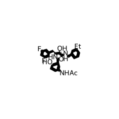 CCc1cccc(CNC[C@@H](O)[C@H](Cc2cc(F)cc(F)c2)NC(=O)c2cc(NC(C)=O)ccc2O)c1